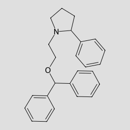 c1ccc(C(OCCN2CCCC2c2ccccc2)c2ccccc2)cc1